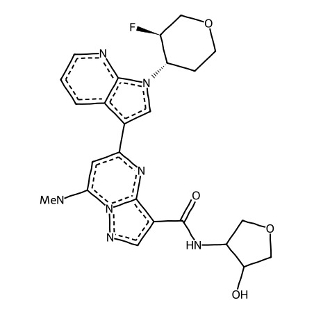 CNc1cc(-c2cn([C@H]3CCOC[C@@H]3F)c3ncccc23)nc2c(C(=O)NC3COCC3O)cnn12